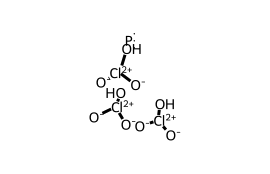 [O-][Cl+2]([O-])O.[O-][Cl+2]([O-])O.[O-][Cl+2]([O-])O.[P]